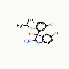 CC(C)Sc1ccc(Cl)cc1C1(O)C(N)=Nc2ccc(Cl)cc21